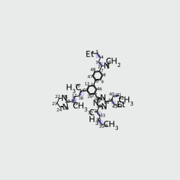 C=N/C(=C\C=C/CC)c1ccc(-c2cc(/C(C)=C/C=C(\C)C3=NCCC=N3)cc(-c3nc(/C(C)=C/C=C\C)nc(C(/C=C\C)=C/CC)n3)c2)cc1